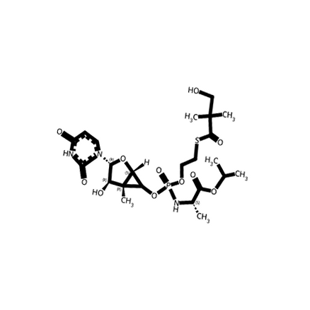 CC(C)OC(=O)[C@H](C)NP(=O)(OCCSC(=O)C(C)(C)CO)OC1[C@H]2O[C@@H](n3ccc(=O)[nH]c3=O)[C@H](O)[C@@]12C